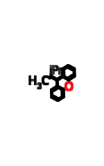 CC(C)C(C)C1c2ccccc2Oc2ccccc21